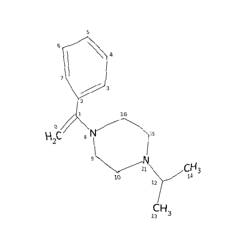 C=C(c1ccccc1)N1CCN(C(C)C)CC1